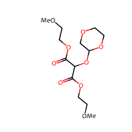 COCCOC(=O)C(OC1COCCO1)C(=O)OCCOC